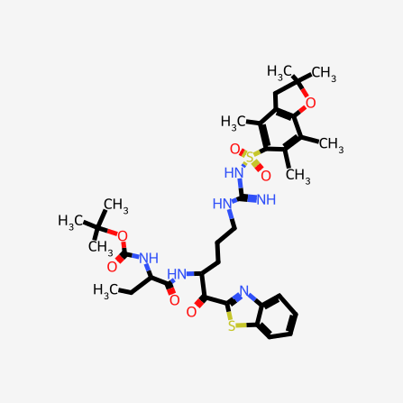 CCC(NC(=O)OC(C)(C)C)C(=O)NC(CCCNC(=N)NS(=O)(=O)c1c(C)c(C)c2c(c1C)CC(C)(C)O2)C(=O)c1nc2ccccc2s1